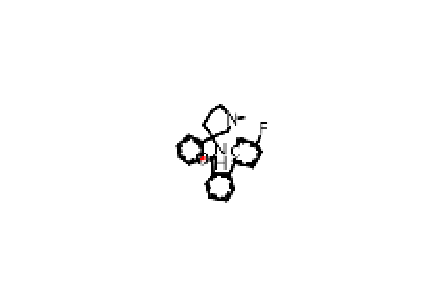 CN1CCCC(NC(=O)c2ccccc2-c2ccc(F)cc2)(c2ccccc2)C1